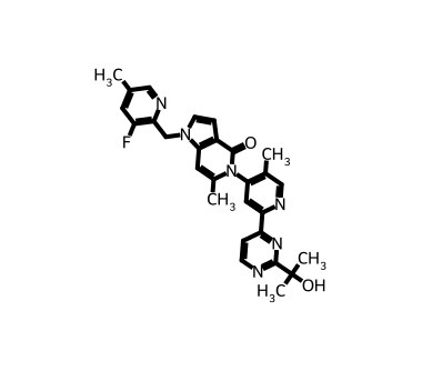 Cc1cnc(Cn2ccc3c(=O)n(-c4cc(-c5ccnc(C(C)(C)O)n5)ncc4C)c(C)cc32)c(F)c1